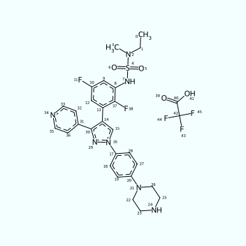 CCN(C)S(=O)(=O)Nc1cc(F)cc(-c2cn(-c3ccc(N4CCNCC4)cc3)nc2-c2ccncc2)c1F.O=C(O)C(F)(F)F